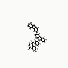 C=C(/C=C\N=C(/C)c1cccc(-n2c3ccccc3c3cc(-c4ccc5sc6ccccc6c5c4)ccc32)c1)c1ccccc1